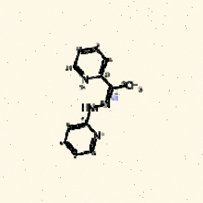 C/C(=N/Nc1ccccn1)c1ccccn1